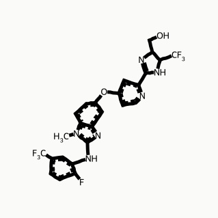 Cn1c(Nc2cc(C(F)(F)F)ccc2F)nc2cc(Oc3ccnc(C4=NC(CO)C(C(F)(F)F)N4)c3)ccc21